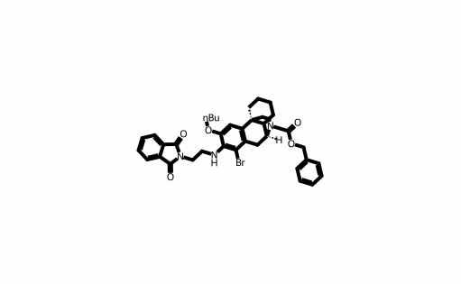 CCCCOc1cc2c(c(Br)c1NCCN1C(=O)c3ccccc3C1=O)C[C@H]1C3CCCC[C@@]23CCN1C(=O)OCc1ccccc1